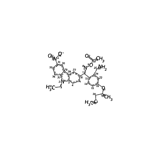 CCn1c2ccc(C(=NOC(C)=O)c3ccc(OC(C)COC)cc3CN)cc2c2cc([N+](=O)[O-])ccc21